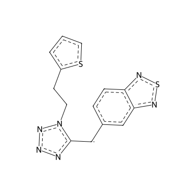 [CH](c1ccc2nsnc2c1)c1nnnn1CCc1cccs1